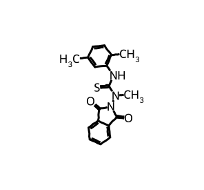 Cc1ccc(C)c(NC(=S)N(C)N2C(=O)c3ccccc3C2=O)c1